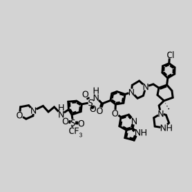 C[C@@]1(CN2CCNCC2)CCC(c2ccc(Cl)cc2)=C(CN2CCN(c3ccc(C(=O)NS(=O)(=O)c4ccc(NCCCN5CCOCC5)c(S(=O)(=O)C(F)(F)F)c4)c(Oc4cnc5[nH]ccc5c4)c3)CC2)C1